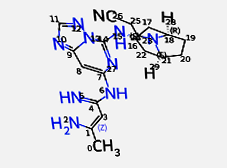 C/C(N)=C/C(=N)Nc1cc2ncnn2c(N[C@@H]2C[C@H]3CC[C@@H](C2)N3CCC#N)n1